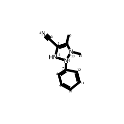 CC1=C(C#N)NN(c2ccccc2)N1C